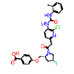 Cc1ccccc1NC(=O)Nc1ccc(CC(=O)N2C[C@@H](F)C[C@H]2COc2ccc(C(=O)O)cc2)nc1Cl